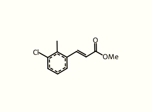 COC(=O)/C=C/c1cccc(Cl)c1C